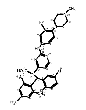 Cc1cc(C)c(C(c2cc(Cl)ccc2Cl)N(C(=O)O)c2ccnc(Nc3ccc(N4CCN(C)CC4)c(F)c3)n2)c(C)c1